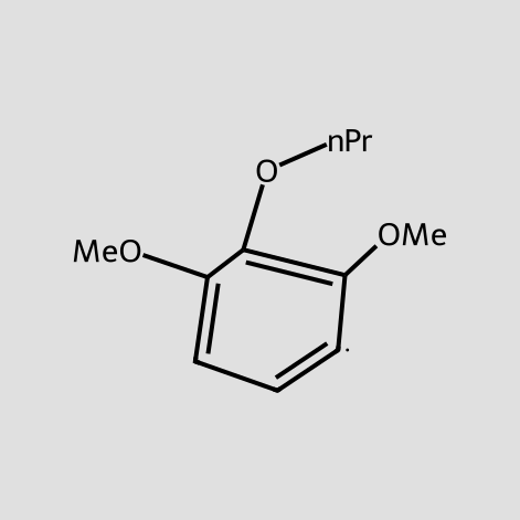 CCCOc1c(OC)[c]ccc1OC